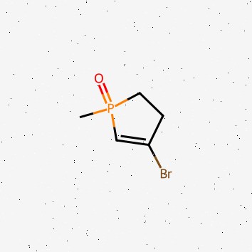 CP1(=O)C=C(Br)CC1